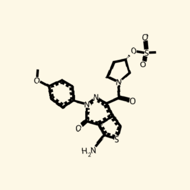 COc1ccc(-n2nc(C(=O)N3CC[C@H](OS(C)(=O)=O)C3)c3csc(N)c3c2=O)cc1